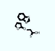 CCC(O)=S.O=C1C=CCO1.c1ccc2scnc2c1